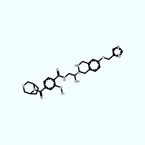 CCOc1cc(C(=O)N2C3CCC2COC3)ccc1C(=O)NCC(O)[C@@H]1Cc2ccc(OCc3cnco3)cc2CN1